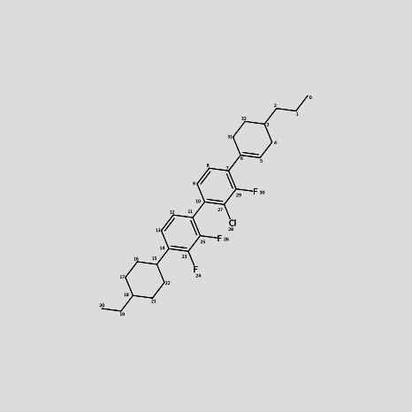 CCCC1CC=C(c2ccc(-c3ccc(C4CCC(CC)CC4)c(F)c3F)c(Cl)c2F)CC1